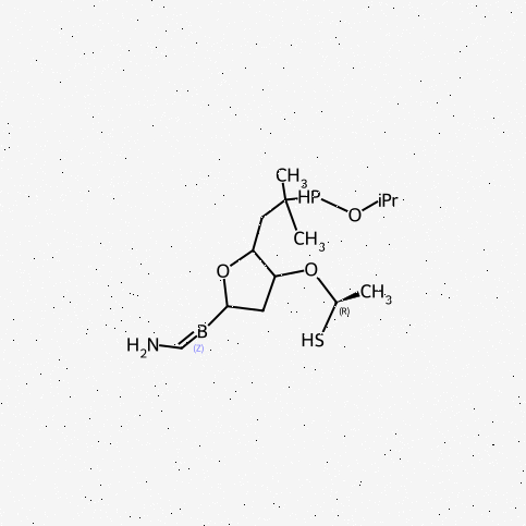 CC(C)OPC(C)(C)CC1OC(/B=C\N)CC1O[C@@H](C)S